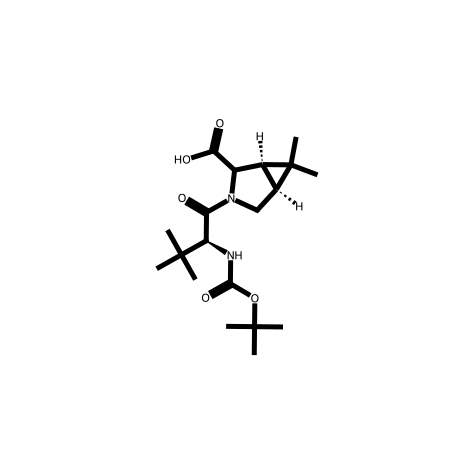 CC(C)(C)OC(=O)N[C@H](C(=O)N1C[C@H]2[C@@H](C1C(=O)O)C2(C)C)C(C)(C)C